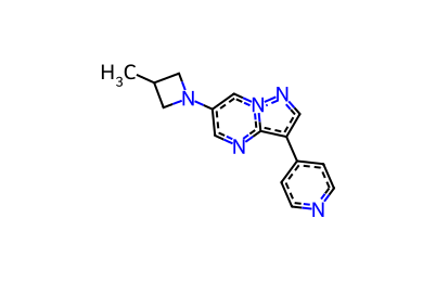 CC1CN(c2cnc3c(-c4ccncc4)cnn3c2)C1